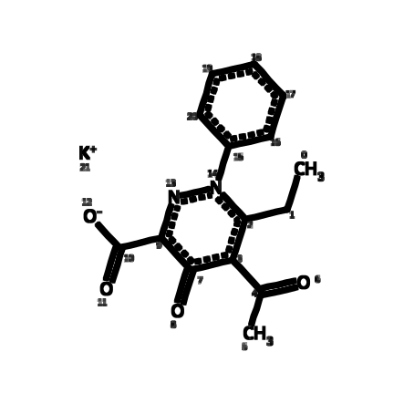 CCc1c(C(C)=O)c(=O)c(C(=O)[O-])nn1-c1ccccc1.[K+]